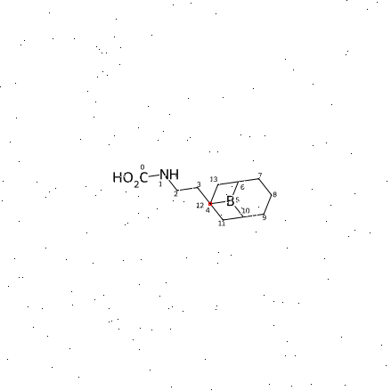 O=C(O)NCCCB1C2CCCC1CCC2